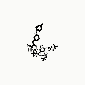 Cc1ccc(Oc2cccc(Cc3cn([C@@H]4O[C@H](CO[Si](C)(C)C(C)(C)C)[C@@H](O[Si](C)(C)C(C)(C)C)[C@H]4O[Si](C)(C)C(C)(C)C)c(=O)[nH]c3=S)c2)cc1